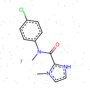 CN(C(=O)c1[nH]cc[n+]1C)c1ccc(Cl)cc1.[I-]